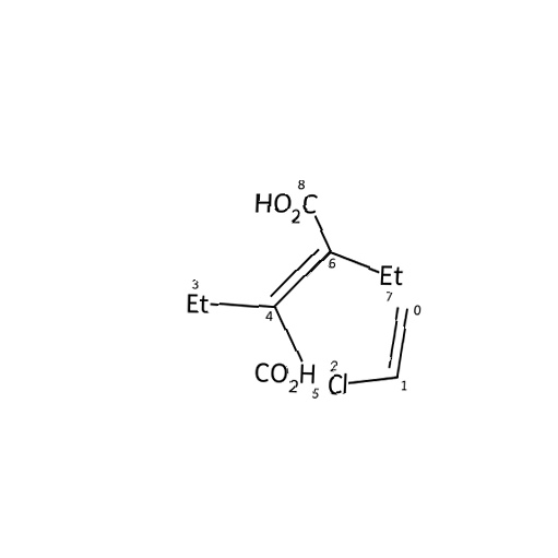 C=CCl.CCC(C(=O)O)=C(CC)C(=O)O